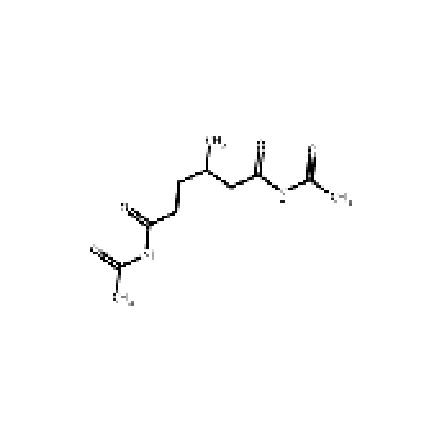 CC(=O)NC(=O)CCC(C)CC(=O)NC(C)=O